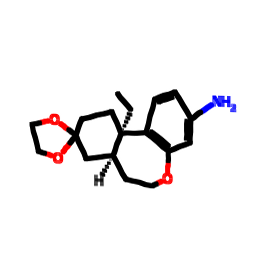 CC[C@@]12CCC3(C[C@@H]1CCOc1cc(N)ccc12)OCCO3